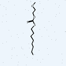 CCCCCCCCSC(=S)OCCOC